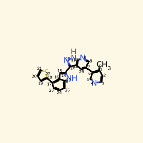 Cc1ccncc1-c1cnc2[nH]nc(-c3cc4c(-c5cccs5)cccc4[nH]3)c2c1